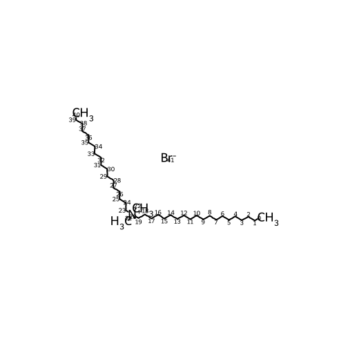 CCCCCCCCCCCCCCCCCCCC[N+](C)(C)CCCCCCCCCCCCCCCCCC.[Br-]